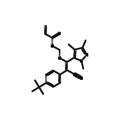 C=CC(=O)OCO/C(=C(/C#N)c1ccc(C(C)(C)C)cc1)c1c(C)c(C)nn1C